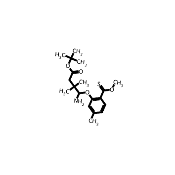 COC(=S)c1ccc(C)cc1OC(N)C(C)(C)CC(=O)OC(C)(C)C